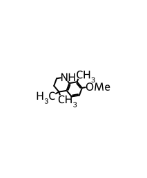 COc1ccc2c(c1C)NCCC2(C)C